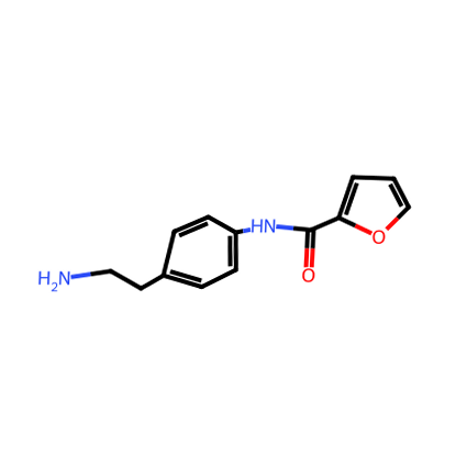 NCCc1ccc(NC(=O)c2ccco2)cc1